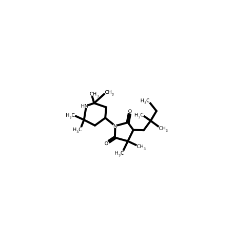 CCC(C)(C)CC1C(=O)N(C2CC(C)(C)NC(C)(C)C2)C(=O)C1(C)C